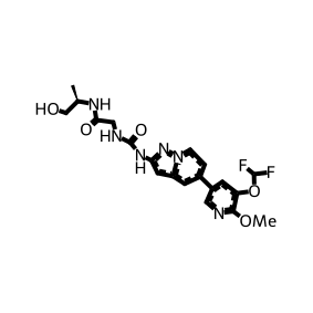 COc1ncc(-c2ccn3nc(NC(=O)NCC(=O)N[C@H](C)CO)cc3c2)cc1OC(F)F